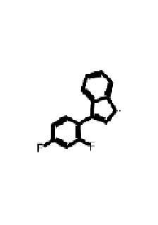 Fc1ccc(C2=C[CH]c3ccccc32)c(F)c1